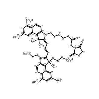 COCC[N+]1=C(/C=C/C=C2/N(CCOCCC(=O)ON3C(=O)CCC3=O)c3ccc4c(S(=O)(=O)O)cc(S(=O)(=O)O)cc4c3C2(C)C)C(C)(CCCS(=O)(=O)O)c2c1ccc1c(S(=O)(=O)O)cc(S(=O)(=O)O)cc21